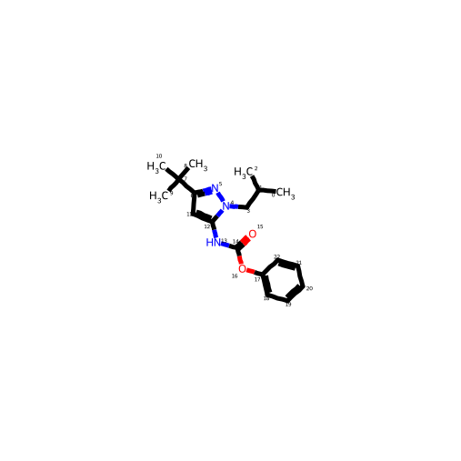 CC(C)Cn1nc(C(C)(C)C)cc1NC(=O)Oc1ccccc1